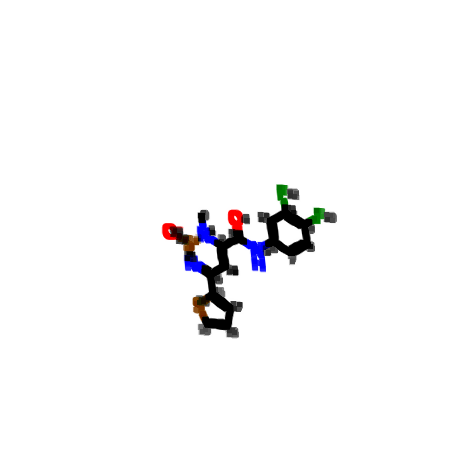 CN1C(C(=O)Nc2ccc(F)c(F)c2)=CC(c2cccs2)=N[S+]1[O-]